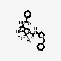 CC1(C)c2[nH]nc(NC(=O)c3ccccc3)c2CN1C(=O)NC1CCN(Cc2ccccc2)C1